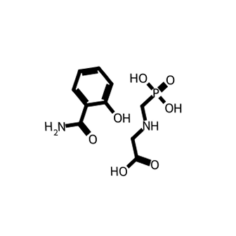 NC(=O)c1ccccc1O.O=C(O)CNCP(=O)(O)O